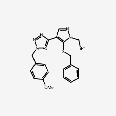 COc1ccc(Cn2nnc(-c3cnn(CC(C)C)c3SCc3ccccc3)n2)cc1